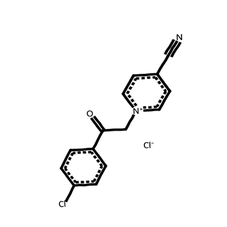 N#Cc1cc[n+](CC(=O)c2ccc(Cl)cc2)cc1.[Cl-]